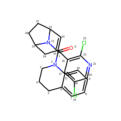 O=C(N1CCCc2ccccc21)N1C2C=C(c3cc(Cl)cnc3Cl)CC1CC2